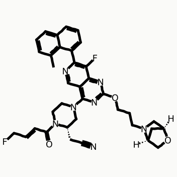 Cc1cccc2cccc(-c3ncc4c(N5CCN(C(=O)/C=C/CF)[C@@H](CC#N)C5)nc(OCCCN5C[C@@H]6C[C@H]5CO6)nc4c3F)c12